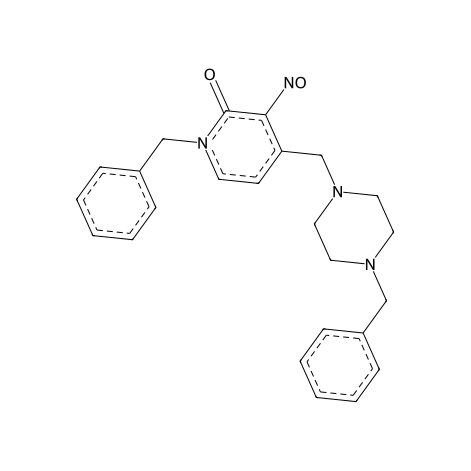 O=Nc1c(CN2CCN(Cc3ccccc3)CC2)ccn(Cc2ccccc2)c1=O